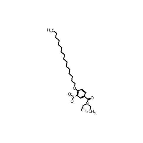 CCCCCCCCCCCCCCCCOc1c[c]c(C(=O)N(CC)CC)cc1[N+](=O)[O-]